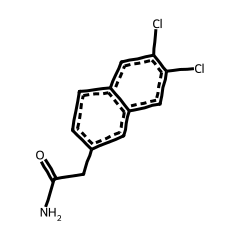 NC(=O)Cc1ccc2cc(Cl)c(Cl)cc2c1